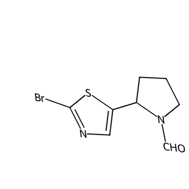 O=CN1CCCC1c1cnc(Br)s1